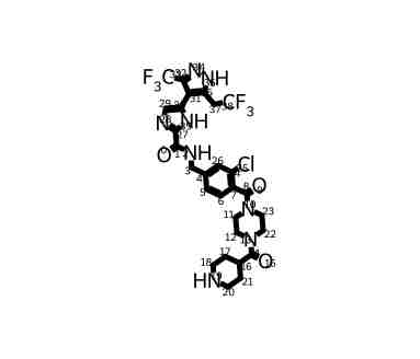 O=C(NCc1ccc(C(=O)N2CCN(C(=O)C3CCNCC3)CC2)c(Cl)c1)c1ncc(-c2c(C(F)(F)F)n[nH]c2CC(F)(F)F)[nH]1